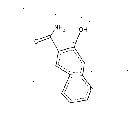 NC(=O)c1cc2cccnc2cc1O